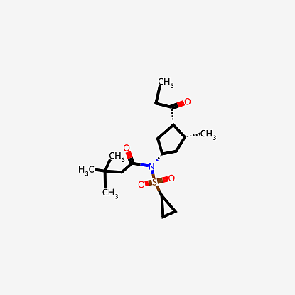 CCC(=O)[C@H]1C[C@@H](N(C(=O)CC(C)(C)C)S(=O)(=O)C2CC2)C[C@H]1C